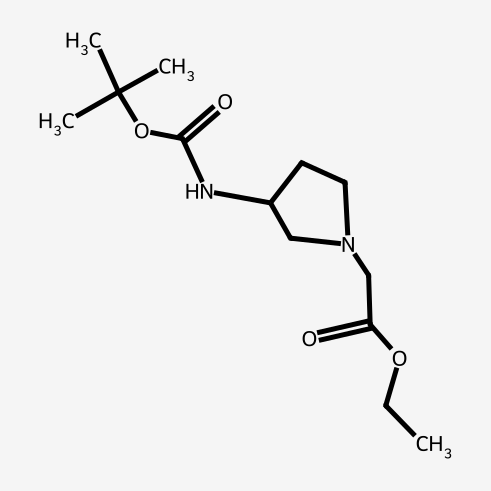 CCOC(=O)CN1CCC(NC(=O)OC(C)(C)C)C1